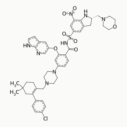 CC1(C)CCC(CN2CCN(c3ccc(C(=O)NS(=O)(=O)c4cc5c(c([N+](=O)[O-])c4)N[C@H](CN4CCOCC4)C5)c(Oc4cnc5[nH]ccc5c4)c3)CC2)=C(c2ccc(Cl)cc2)C1